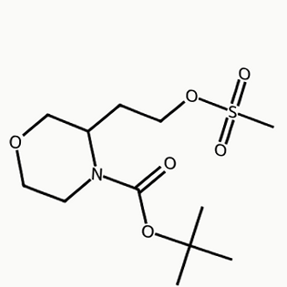 CC(C)(C)OC(=O)N1CCOCC1CCOS(C)(=O)=O